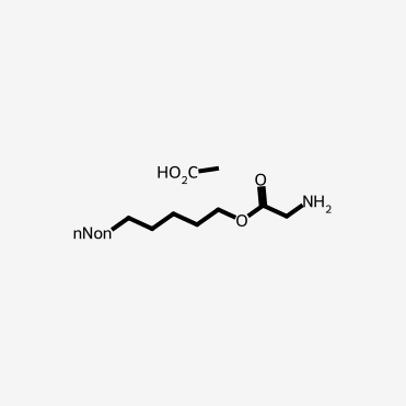 CC(=O)O.CCCCCCCCCCCCCCOC(=O)CN